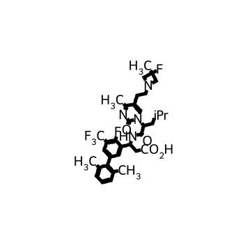 Cc1cccc(C)c1-c1cc(C(CC(=O)O)NC(=O)C(CC(C)C)n2cc(CCN3CC(C)(F)C3)c(C)nc2=O)c(F)c(C(F)(F)F)c1